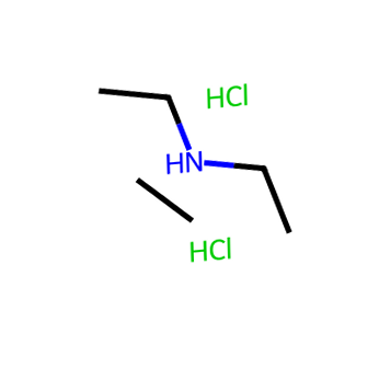 CC.CCNCC.Cl.Cl